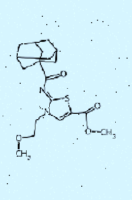 COCCn1cc(C(=O)OC)s/c1=N\C(=O)C12CC3CC(CC(C3)C1)C2